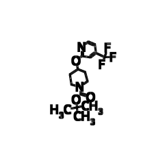 CC(C)(C)OC(=O)N1CCC(Oc2cc(C(F)(F)F)ccn2)CC1